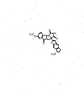 COc1ccc2c(c1)C(=O)N(C[C@@]1(c3cc4cc5c(cc4o3)[C@@H](N)CC5)NC(=O)NC1=O)C2